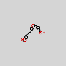 COC(C)Oc1ccc(C=CC=Cc2ccc(OC(C)(C)Cc3ccc(C=CO)cc3)cc2)cc1